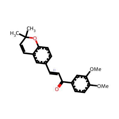 COc1ccc(C(=O)/C=C/c2ccc3c(c2)C=CC(C)(C)O3)cc1OC